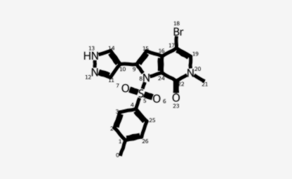 Cc1ccc(S(=O)(=O)n2c(-c3cn[nH]c3)cc3c(Br)cn(C)c(=O)c32)cc1